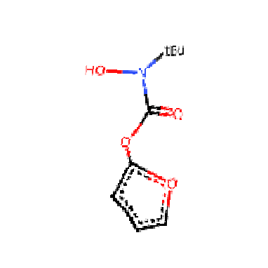 CC(C)(C)N(O)C(=O)Oc1ccco1